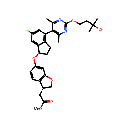 COC(=O)C[C@@H]1COc2cc(O[C@@H]3CCc4c(-c5c(C)nc(OCCC(C)(C)O)nc5C)cc(F)cc43)ccc21